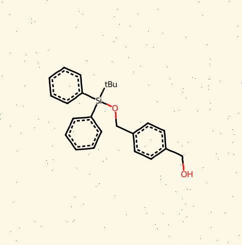 CC(C)(C)[Si](OCc1ccc(CO)cc1)(c1ccccc1)c1ccccc1